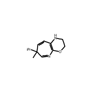 CC(C)C1(C)C=CC2=C(N=C1)OCCN2